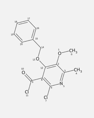 COc1c(C)nc(Cl)c(C(=O)Cl)c1OCc1ccccc1